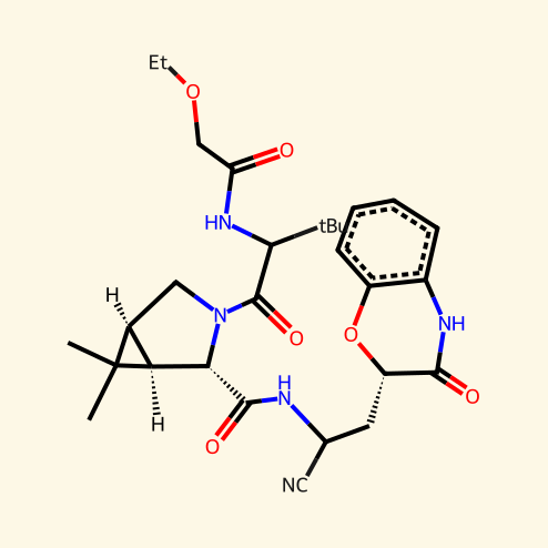 CCOCC(=O)NC(C(=O)N1C[C@H]2[C@@H]([C@H]1C(=O)NC(C#N)C[C@@H]1Oc3ccccc3NC1=O)C2(C)C)C(C)(C)C